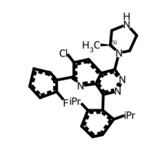 CC(C)c1cccc(C(C)C)c1-c1nnc(N2CCNC[C@@H]2C)c2cc(Cl)c(-c3ccccc3F)nc12